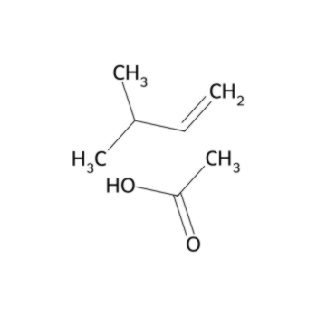 C=CC(C)C.CC(=O)O